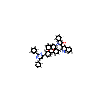 c1ccc(-c2cc(-c3ccc(-c4ccc(-c5nc6ccccc6c6oc7c8ccccc8n(-c8ccc9ccccc9c8)c7c56)cc4)cc3)nc(-c3ccccc3)n2)cc1